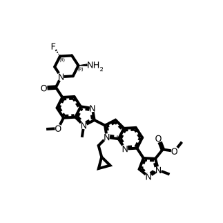 COC(=O)c1c(-c2ccc3cc(-c4nc5cc(C(=O)N6C[C@H](N)C[C@@H](F)C6)cc(OC)c5n4C)n(CC4CC4)c3n2)cnn1C